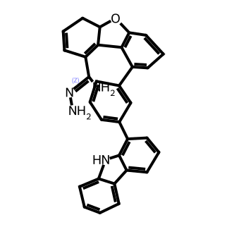 N/N=C(\N)C1=C2c3c(cccc3-c3cccc(-c4cccc5c4[nH]c4ccccc45)c3)OC2CC=C1